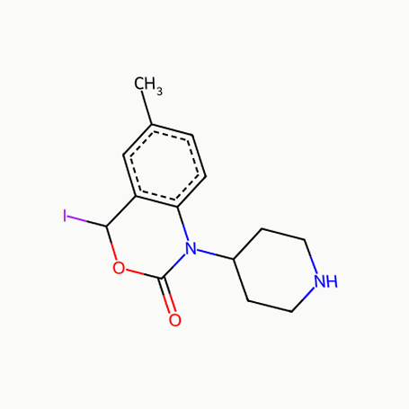 Cc1ccc2c(c1)C(I)OC(=O)N2C1CCNCC1